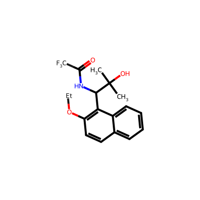 CCOc1ccc2ccccc2c1C(NC(=O)C(F)(F)F)C(C)(C)O